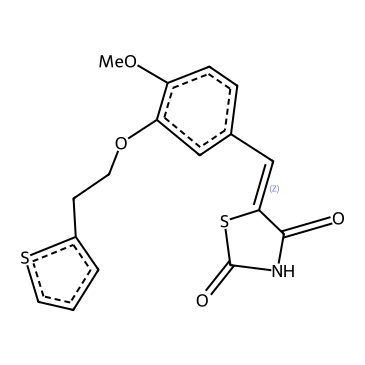 COc1ccc(/C=C2\SC(=O)NC2=O)cc1OCCc1cccs1